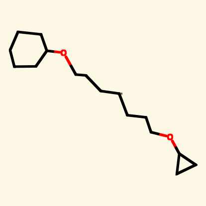 [CH](CCCOC1CCCCC1)CCCOC1CC1